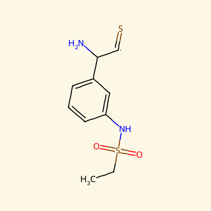 CCS(=O)(=O)Nc1cccc(C(N)[C]=S)c1